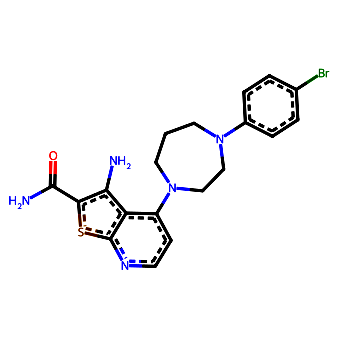 NC(=O)c1sc2nccc(N3CCCN(c4ccc(Br)cc4)CC3)c2c1N